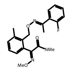 CNC(=O)/C(=N/OC)c1cccc(C)c1CO/N=C(\C)c1ccccc1F